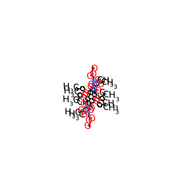 CCOCCC(C(=O)N(CCC(=O)OCC1CO1)COC)N1C(=O)c2cc(Oc3cccc(C(C)C)c3)c3c4c(Oc5cccc(C(C)C)c5)cc5c6c(cc(Oc7cccc(C(C)C)c7)c(c7c(Oc8cccc(C(C)C)c8)cc(c2c37)C1=O)c64)C(=O)N(C(CCOCC)C(=O)N(CCC(=O)OCC1CO1)COC)C5=O